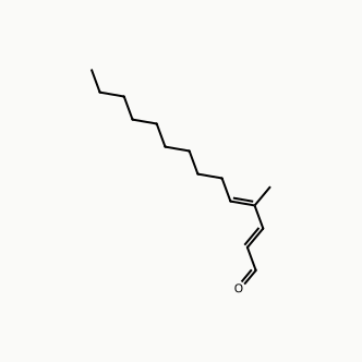 CCCCCCCCCC=C(C)/C=C/C=O